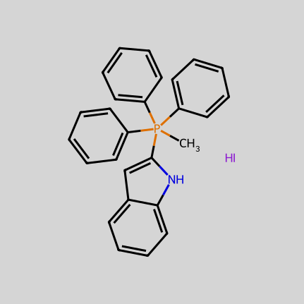 CP(c1ccccc1)(c1ccccc1)(c1ccccc1)c1cc2ccccc2[nH]1.I